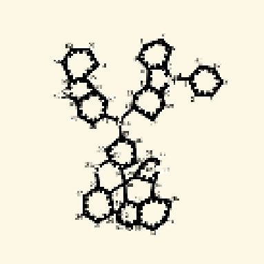 c1ccc(-n2c3ccccc3c3cc(N(c4ccc5c(c4)Sc4ccccc4C54c5ccccc5-c5cccc6cccc4c56)c4ccc5sc6ccccc6c5c4)ccc32)cc1